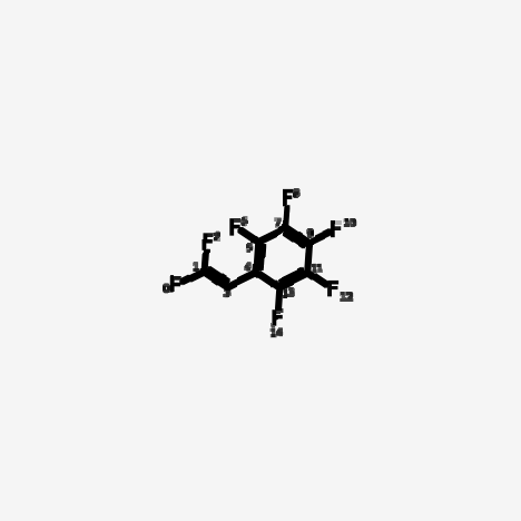 FC(F)=Cc1c(F)c(F)c(F)c(F)c1F